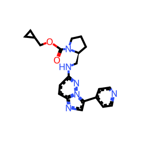 O=C(OCC1CC1)N1CCC[C@H]1CNc1ccc2ncc(-c3ccncc3)n2n1